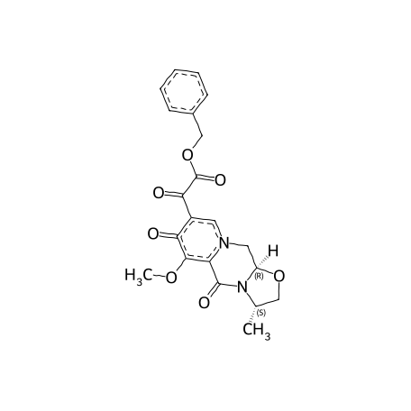 COc1c2n(cc(C(=O)C(=O)OCc3ccccc3)c1=O)C[C@H]1OC[C@H](C)N1C2=O